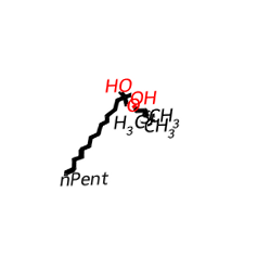 CCCCCC=CCC=CCCCCCCCCC(CO)(CO)COCC[Si](C)(C)C